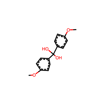 COc1ccc(C(O)(O)c2ccc(OC)cc2)cc1